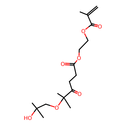 C=C(C)C(=O)OCCOC(=O)CCC(=O)C(C)(C)OCC(C)(C)O